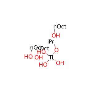 CC(C)[O][Ti]([OH])([OH])[OH].CCCCCCCCO.CCCCCCCCO.CCCCCCCCO